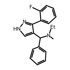 CCN(C)C(c1ccccc1)c1c[nH]nc1-c1ccccc1F